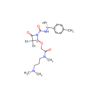 CCC[C@@H](NC(=O)N1C(=O)C(CC)(CC)[C@@H]1OCC(=O)N(C)CCCN(C)C)c1ccc(C)cc1